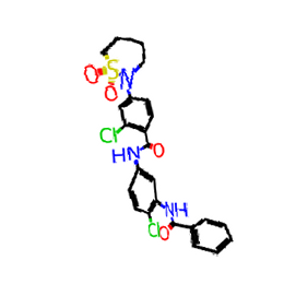 O=C(Nc1cc(NC(=O)c2ccc(N3CCCCS3(=O)=O)cc2Cl)ccc1Cl)c1ccccc1